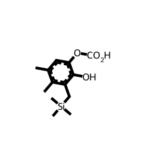 Cc1cc(OC(=O)O)c(O)c(C[Si](C)(C)C)c1C